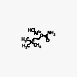 C[N+](C)(C)CCOC(N)=O.Cl.[Al+3]